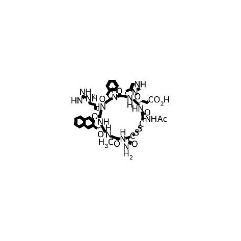 CC(=O)N[C@H]1CSSC[C@@H](C(N)=O)NC(=O)[C@H](C)NC(=O)[C@H](Cc2ccc3ccccc3c2)NC(=O)[C@H](CCCNC(=N)N)NC(=O)[C@@H](Cc2ccccc2)NC(=O)[C@H](Cc2c[nH]cn2)NC(=O)[C@H](CCC(=O)O)NC1=O